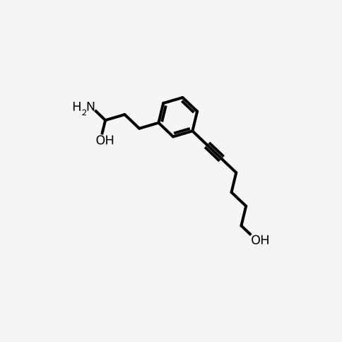 NC(O)CCc1cccc(C#CCCCCO)c1